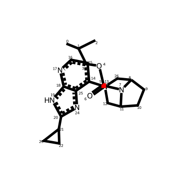 CC(C)COC(=O)N1C2CCC1CN(c1ccnc3[nH]c(C4CC4)nc13)C2